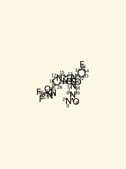 CN(C)C(=O)N1CCN(S(=O)(=O)N(Cc2cn3ccc(-c4nnc(C(F)F)o4)cc3n2)c2cccc(F)c2)CC1